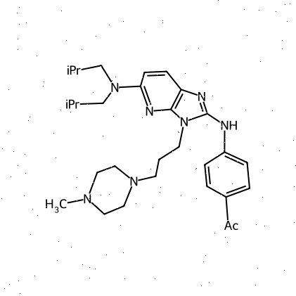 CC(=O)c1ccc(Nc2nc3ccc(N(CC(C)C)CC(C)C)nc3n2CCCN2CCN(C)CC2)cc1